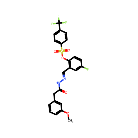 COc1cccc(CC(=O)NN=Cc2cc(F)ccc2OS(=O)(=O)c2ccc(C(F)(F)F)cc2)c1